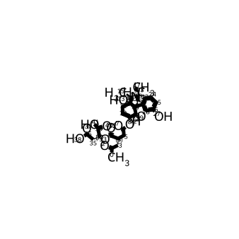 CC(=O)C[C@@H](CC(=O)OC1=CC[C@@]2(O)[C@@H](C)N(C)CC[C@@]23c2c(C)ccc(O)c2O[C@@H]13)C(=O)O[C@H](CC(=O)O)C(=O)O